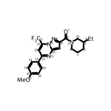 CCC1CCCN(C(=O)c2cc3nc(-c4ccc(OC)cc4)cc(C(F)(F)F)n3n2)C1